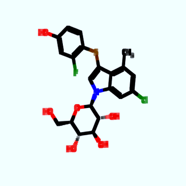 Cc1cc(Cl)cc2c1c(Sc1ccc(O)cc1F)cn2[C@@H]1O[C@H](CO)[C@@H](O)[C@H](O)[C@H]1O